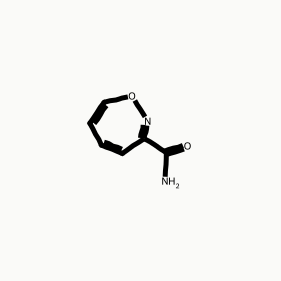 NC(=O)C1=NOC=CC=C1